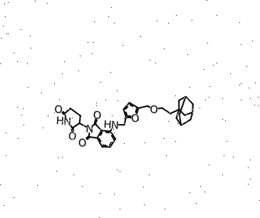 O=C1CCC(N2C(=O)c3cccc(NCc4ccc(COCCC56CC7CC(CC(C7)C5)C6)o4)c3C2=O)C(=O)N1